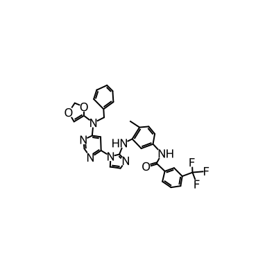 Cc1ccc(NC(=O)c2cccc(C(F)(F)F)c2)cc1Nc1nccn1-c1cc(N(Cc2ccccc2)C2=COCO2)ncn1